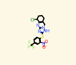 O=[N+]([O-])c1cc(C(F)(F)F)ccc1SC1=NC2=NC3=C(CCCC3Cl)CN2N1